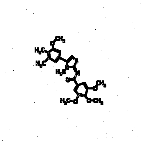 COc1cc(-c2cs/c(=N/C(=O)c3cc(OC)c(OC)c(OC)c3)n2C)cc(C)c1C